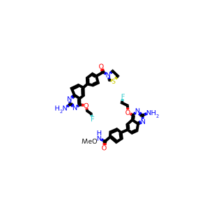 CONC(=O)c1ccc(-c2ccc3nc(N)nc(OCCF)c3c2)cc1.Nc1nc(OCCF)c2cc(-c3ccc(C(=O)N4CCSC4)cc3)ccc2n1